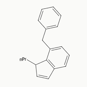 CCCC1C=Cc2cccc(Cc3ccccc3)c21